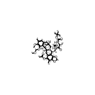 COCOc1c(OC)c(C)cc2c1[C@@H]1[C@@H]3Cc4c(OC(C)=O)c(C)c5c(c4[C@H](CNC(=O)[C@H](C)NC(=O)OC(C)(C)C)N3[C@@H](C#N)[C@@H](C2)N1C)OCO5